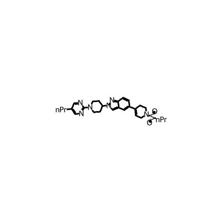 CCCc1cnc(N2CCC(n3cc4cc(C5=CCN(S(=O)(=O)CCC)CC5)ccc4n3)CC2)nc1